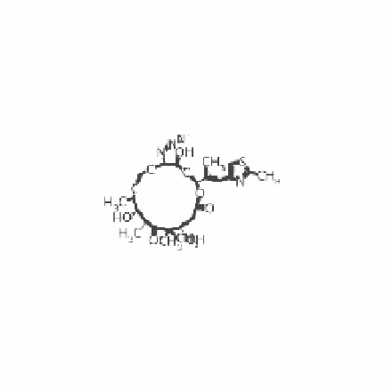 C/C(=C\c1csc(C)n1)[C@@H]1CC(O)[C@H](N=[N+]=[N-])CCC[C@H](C)[C@H](O)[C@@H](C)C(=O)C(C)(C)[C@@H](O)CC(=O)O1